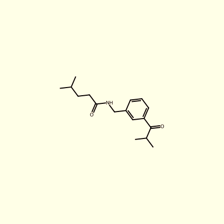 CC(C)CCC(=O)NCc1cccc(C(=O)C(C)C)c1